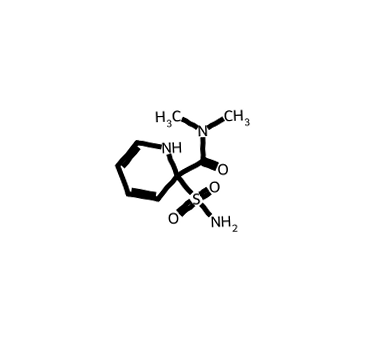 CN(C)C(=O)C1(S(N)(=O)=O)C=CC=CN1